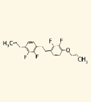 C/C=C/Oc1ccc(CCc2ccc(CCC)c(F)c2F)c(F)c1F